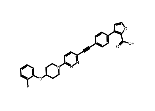 O=C(O)c1occc1-c1ccc(C#Cc2ccc(N3CCC(Oc4ccccc4F)CC3)nn2)cc1